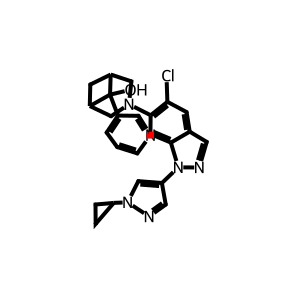 OC1(c2cccnc2)C2CC1CN(c1cc3c(cnn3-c3cnn(C4CC4)c3)cc1Cl)C2